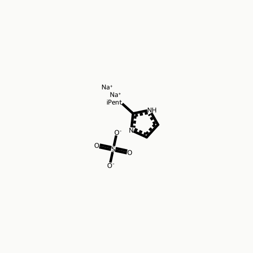 CCCC(C)c1ncc[nH]1.O=S(=O)([O-])[O-].[Na+].[Na+]